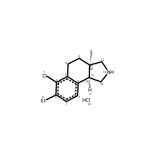 CCc1ccc2c(c1Cl)CC[C@@]1(C)CNC[C@@H]21.Cl